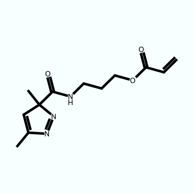 C=CC(=O)OCCCNC(=O)C1(C)C=C(C)N=N1